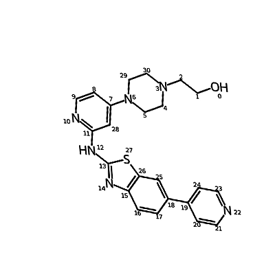 OCCN1CCN(c2ccnc(Nc3nc4ccc(-c5ccncc5)cc4s3)c2)CC1